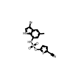 Cc1cc(NS(=O)(=O)Oc2ccc(C#N)s2)c2[nH]cc(Br)c2c1